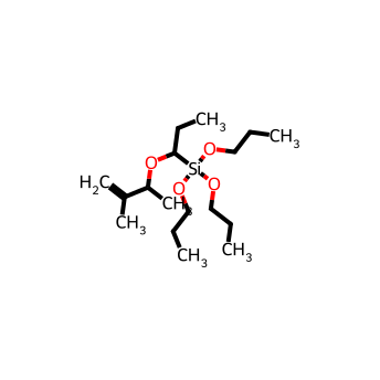 C=C(C)C(C)OC(CC)[Si](OCCC)(OCCC)OCCC